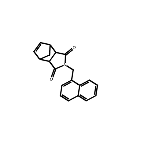 O=C1C2C3C=CC(C3)C2C(=O)N1Cc1cccc2ccccc12